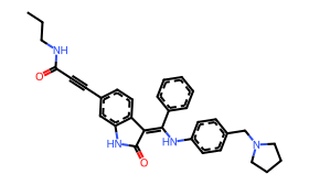 CCCNC(=O)C#Cc1ccc2c(c1)NC(=O)/C2=C(\Nc1ccc(CN2CCCC2)cc1)c1ccccc1